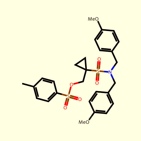 COc1ccc(CN(Cc2ccc(OC)cc2)S(=O)(=O)C2(COS(=O)(=O)c3ccc(C)cc3)CC2)cc1